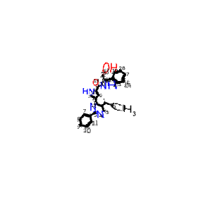 CCc1cnc(-c2ccccc2)nc1-c1c[nH]c(C(=O)N[C@@H](CO)c2ccccc2)c1